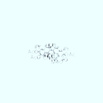 COC(=O)c1c(OC(C)=O)c(C(C)C)c2cc(C)c(-c3c(C)cc4c(C(C)C)c(OC(C)=O)c(OC(C)=O)c(C#N)c4c3C)c(C)c2c1C#N